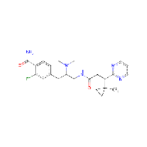 CN(C)C(CNC(=O)CC(c1ncccn1)C1(C(F)(F)F)CC1)Cc1ccc(C(N)=O)c(F)c1